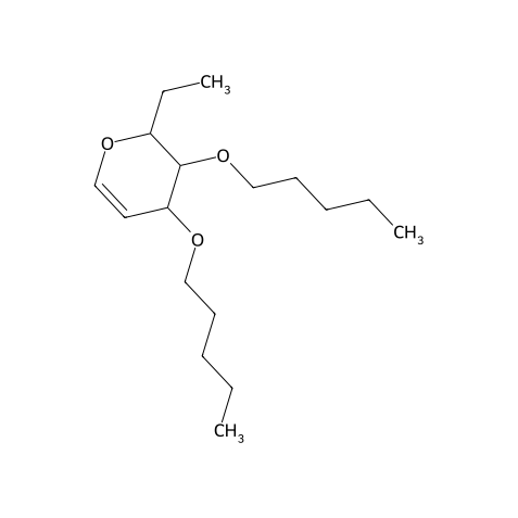 CCCCCOC1C=COC(CC)C1OCCCCC